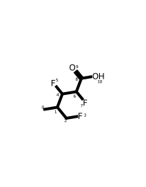 CC(CF)C(F)C(F)C(=O)O